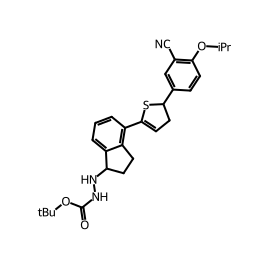 CC(C)Oc1ccc(C2CC=C(c3cccc4c3CCC4NNC(=O)OC(C)(C)C)S2)cc1C#N